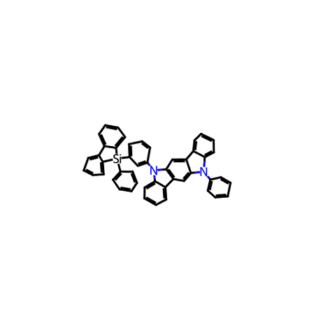 c1ccc(-n2c3ccccc3c3cc4c(cc32)c2ccccc2n4-c2cccc([Si]3(c4ccccc4)c4ccccc4-c4ccccc43)c2)cc1